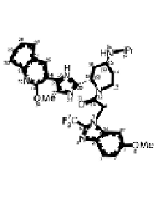 COc1ccc2nc(C(F)(F)F)n(CC(=O)N3CC[C@H](NC(C)C)C[C@H]3c3ncc(-c4cc5ccccc5nc4OC)[nH]3)c2c1